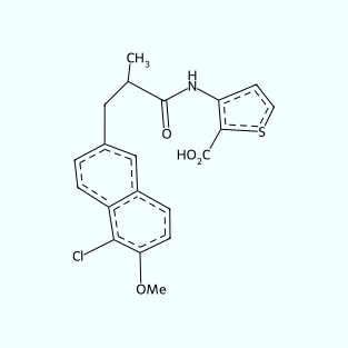 COc1ccc2cc(CC(C)C(=O)Nc3ccsc3C(=O)O)ccc2c1Cl